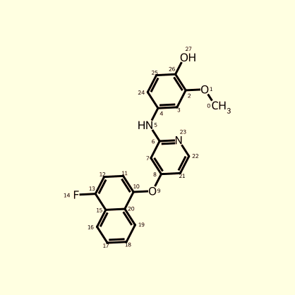 COc1cc(Nc2cc(Oc3ccc(F)c4ccccc34)ccn2)ccc1O